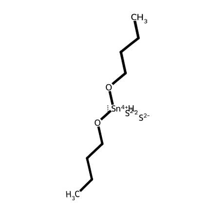 CCCC[O][SnH2+4][O]CCCC.[S-2].[S-2]